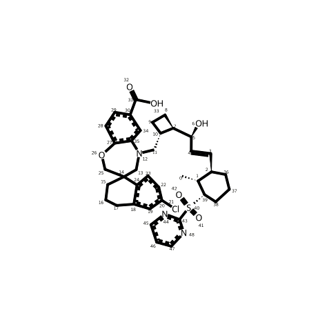 C[C@@H]1[C@@H](/C=C/[C@H](O)[C@@H]2CC[C@H]2CN2CC3(CCCc4cc(Cl)ccc43)COc3ccc(C(=O)O)cc32)CCC[C@@H]1S(=O)(=O)c1ncccn1